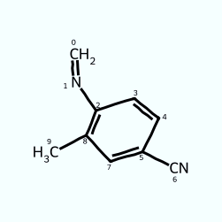 C=Nc1ccc(C#N)cc1C